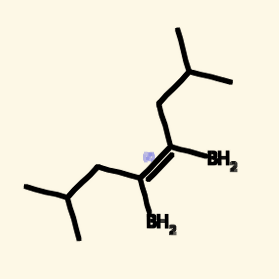 B/C(CC(C)C)=C(\B)CC(C)C